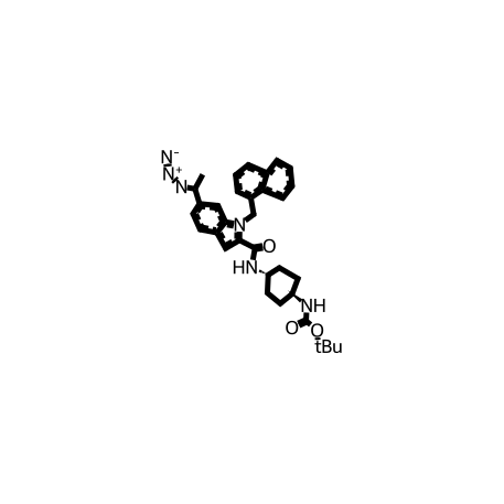 CC(N=[N+]=[N-])c1ccc2cc(C(=O)N[C@H]3CC[C@H](NC(=O)OC(C)(C)C)CC3)n(Cc3cccc4ccccc34)c2c1